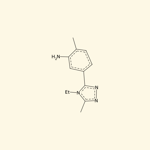 CCn1c(C)nnc1-c1ccc(C)c(N)c1